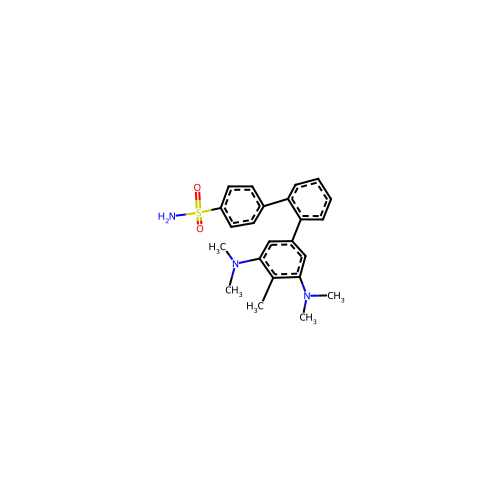 Cc1c(N(C)C)cc(-c2ccccc2-c2ccc(S(N)(=O)=O)cc2)cc1N(C)C